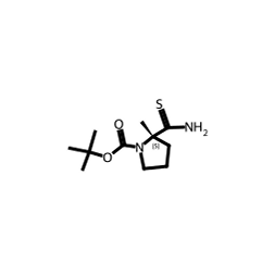 CC(C)(C)OC(=O)N1CCC[C@@]1(C)C(N)=S